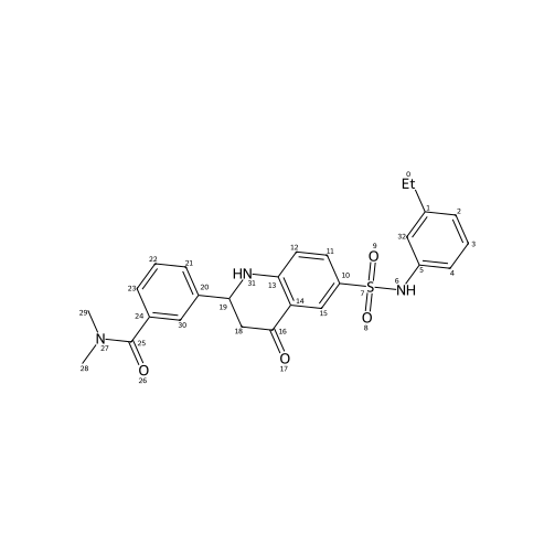 CCc1cccc(NS(=O)(=O)c2ccc3c(c2)C(=O)CC(c2cccc(C(=O)N(C)C)c2)N3)c1